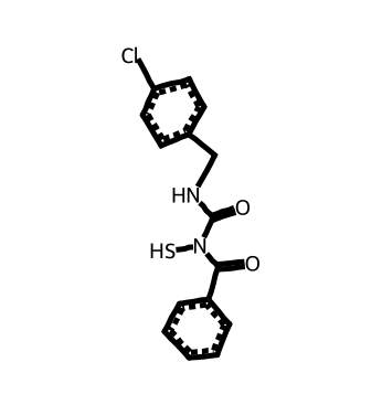 O=C(NCc1ccc(Cl)cc1)N(S)C(=O)c1ccccc1